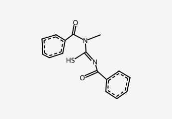 CN(C(=O)c1ccccc1)/C(S)=N/C(=O)c1ccccc1